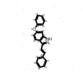 C(=C\c1n[nH]c2cc(Oc3ccccc3)ccc12)/c1ccccc1